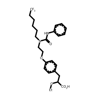 CCOC(Cc1ccc(OCCN(CCCCCC(F)(F)F)C(=O)Nc2ccccc2)cc1)C(=O)O